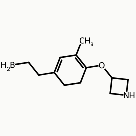 BCCC1=CC(C)=C(OC2CNC2)CC1